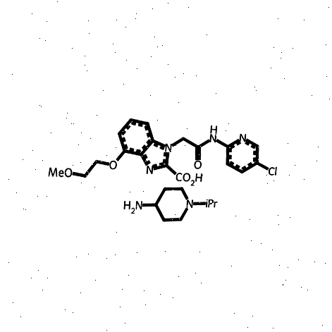 CC(C)N1CCC(N)CC1.COCCOc1cccc2c1nc(C(=O)O)n2CC(=O)Nc1ccc(Cl)cn1